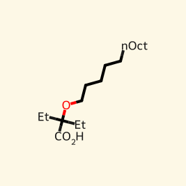 CCCCCCCCCCCCCOC(CC)(CC)C(=O)O